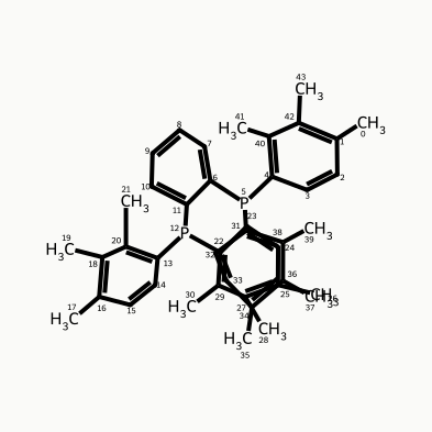 Cc1ccc(P(c2ccccc2P(c2ccc(C)c(C)c2C)c2ccc(C)c(C)c2C)c2ccc(C)c(C)c2C)c(C)c1C